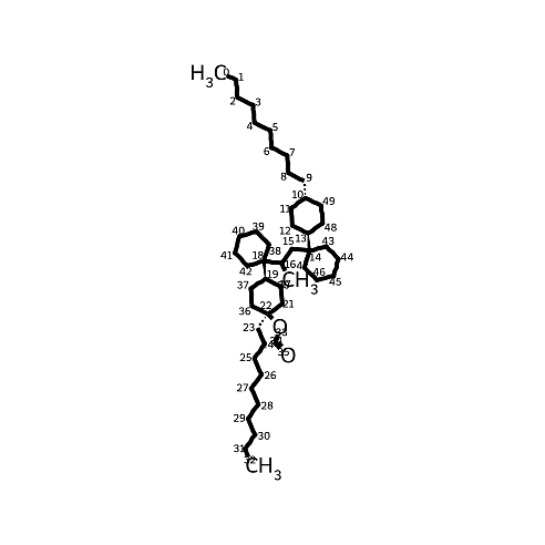 CCCCCCCCCC[C@H]1CC[C@H](C2(CC(C)C3([C@H]4CC[C@@](CCCCCCCCCC)(OC=O)CC4)CCCCC3)CCCCC2)CC1